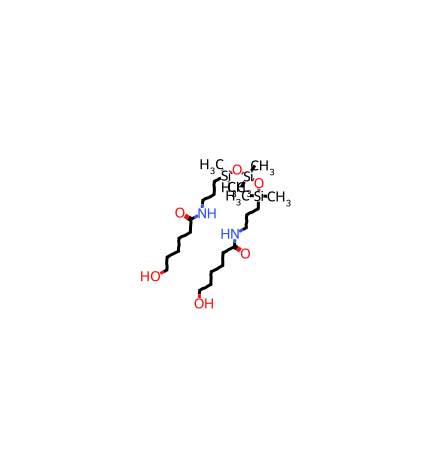 C[Si](C)(CCCNC(=O)CCCCCO)O[Si](C)(C)O[Si](C)(C)CCCNC(=O)CCCCCO